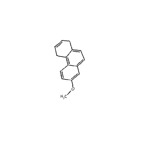 COc1ccc2c3c(ccc2c1)CC=CC3